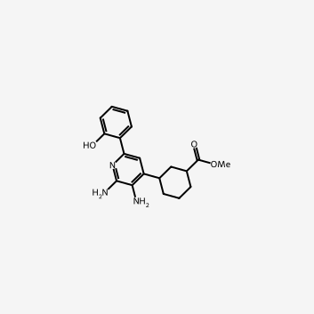 COC(=O)C1CCCC(c2cc(-c3ccccc3O)nc(N)c2N)C1